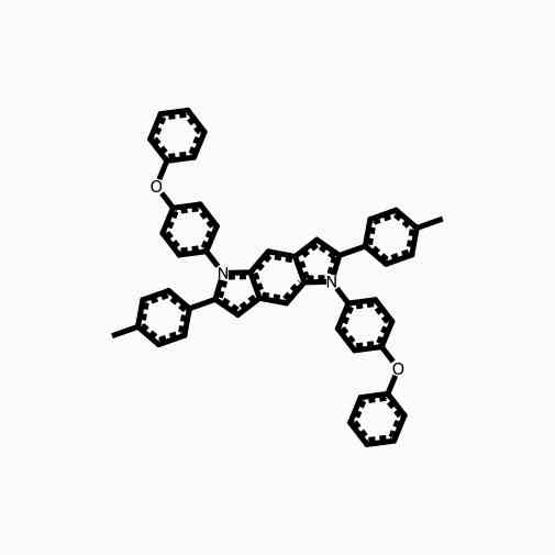 Cc1ccc(-c2cc3cc4c(cc(-c5ccc(C)cc5)n4-c4ccc(Oc5ccccc5)cc4)cc3n2-c2ccc(Oc3ccccc3)cc2)cc1